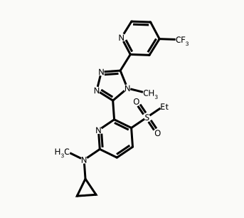 CCS(=O)(=O)c1ccc(N(C)C2CC2)nc1-c1nnc(-c2cc(C(F)(F)F)ccn2)n1C